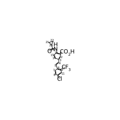 O=C(O)c1cc(/C=C/c2ccc(Cl)cc2C(F)(F)F)ccc1NC(=O)C1CC1